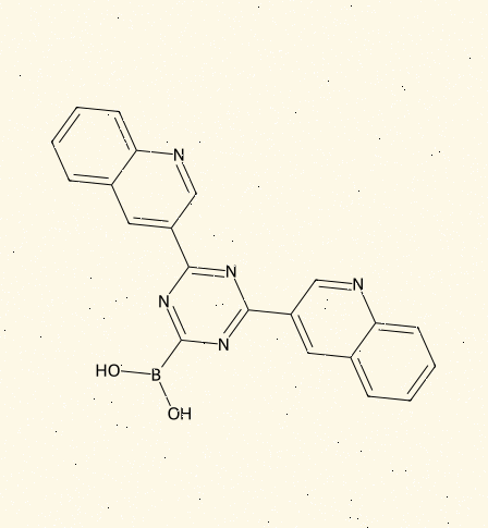 OB(O)c1nc(-c2cnc3ccccc3c2)nc(-c2cnc3ccccc3c2)n1